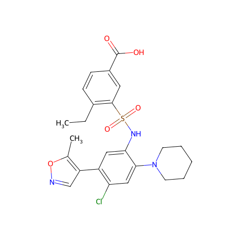 CCc1ccc(C(=O)O)cc1S(=O)(=O)Nc1cc(-c2cnoc2C)c(Cl)cc1N1CCCCC1